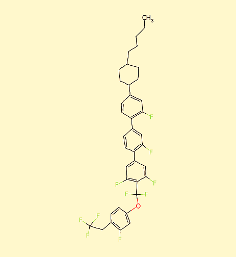 CCCCCC1CCC(c2ccc(-c3ccc(-c4cc(F)c(C(F)(F)Oc5ccc(CC(F)(F)F)c(F)c5)c(F)c4)c(F)c3)c(F)c2)CC1